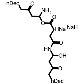 CCCCCCCCCCCC(=O)CC(O)NC(=O)CCC(=O)OC(N)CC(=O)CCCCCCCCCCC.[NaH].[NaH]